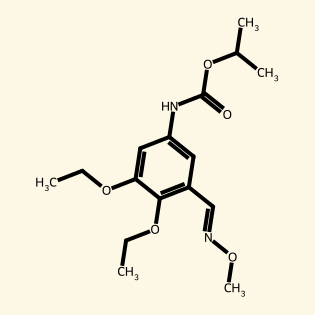 CCOc1cc(NC(=O)OC(C)C)cc(/C=N/OC)c1OCC